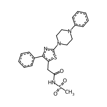 CS(=O)(=O)NC(=O)Cc1sc(N2CCN(c3ccccc3)CC2)nc1-c1ccccc1